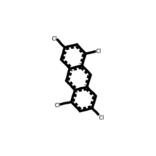 Clc1[c]c(Cl)c2cc3cc(Cl)[c]c(Cl)c3cc2c1